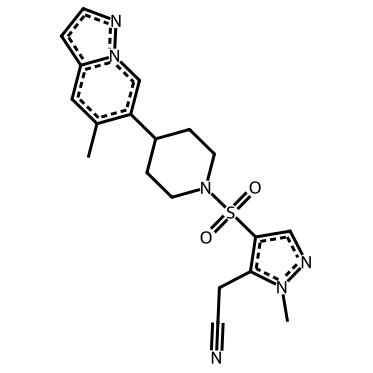 Cc1cc2ccnn2cc1C1CCN(S(=O)(=O)c2cnn(C)c2CC#N)CC1